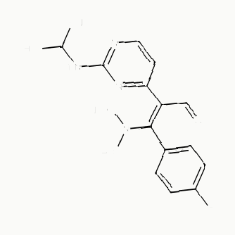 CC(C)Nc1nccc(C(C=O)=C(c2ccc(F)cc2)N(C)C)n1